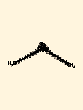 CCCCCCCCCCCCCCCCCCc1ccc(I(=O)=O)c(C(=O)NC(=O)CCCCCCCCCCCCCCCCC)c1